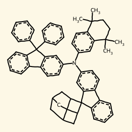 CC1(C)CCC(C)(C)c2cc(N(c3ccc4c(c3)C(c3ccccc3)(c3ccccc3)c3ccccc3-4)c3ccc4c(c3)C3(c5ccccc5-4)C4CC5CC6CC3C64C5)ccc21